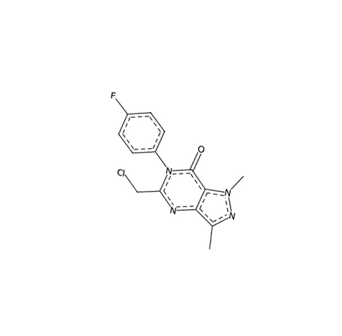 Cc1nn(C)c2c(=O)n(-c3ccc(F)cc3)c(CCl)nc12